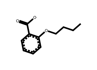 CCCCOc1ccccc1C([O])=O